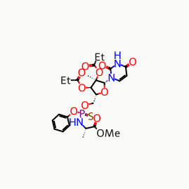 CCC(=O)O[C@@H]1[C@@H](COP(=S)(N[C@@H](C)C(=O)OC)Oc2ccccc2)O[C@@H](n2ccc(=O)[nH]c2=O)[C@]1(C)OC(=O)CC